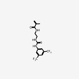 C=C(C)C(=O)NCCNC(=S)Nc1cc(C(F)(F)F)cc(C(F)(F)F)c1